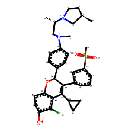 C[C@@H]1CCN([C@@H](C)CN(C)c2ccc(C3Oc4ccc(O)c(F)c4C(C4CC4)=C3c3cccc(S(C)(=O)=O)c3)cc2)C1